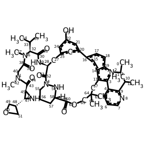 CCn1c(-c2cccnc2C(C)C)c2c3cc(ccc31)-c1cc(O)cc(c1)C[C@H](NC(=O)[C@H](C(C)C)N(C)C(=O)CN(C)C(=O)[C@H]1N[C@@H]1C1COC1)C(=O)N1CCC[C@H](N1)C(=O)OCC(C)(C)C2